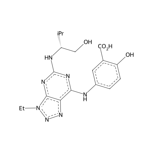 CCn1nnc2c(Nc3ccc(O)c(C(=O)O)c3)nc(N[C@@H](CO)C(C)C)nc21